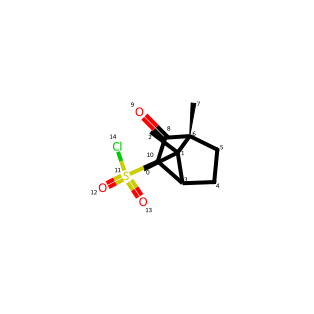 CC1(C)C2CC[C@@]1(C)C(=O)C2S(=O)(=O)Cl